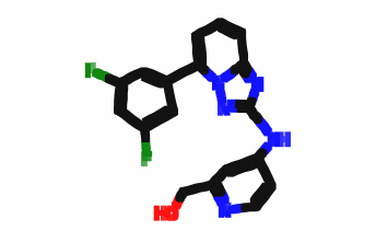 OCc1cc(Nc2nc3cccc(-c4cc(F)cc(F)c4)n3n2)ccn1